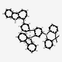 CC1(C)c2ccccc2N(c2ccc(-c3cccc(-c4cccc5c4sc4ccccc45)c3)c(-n3c4ccccc4c4ccccc43)c2)c2ccccc21